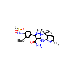 CCS(=O)(=O)Nc1ccc(-c2nn3c(c2C(N)=O)Nc2nc(C(F)(F)F)ccc2C3(C)C)cc1OCC(C)C